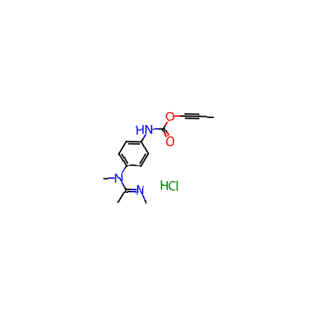 CC#COC(=O)Nc1ccc(N(C)C(C)=NC)cc1.Cl